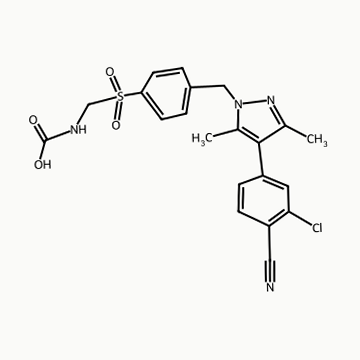 Cc1nn(Cc2ccc(S(=O)(=O)CNC(=O)O)cc2)c(C)c1-c1ccc(C#N)c(Cl)c1